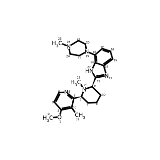 COc1ccnc([C@@H]2CCC[C@H](c3nc4cccc(N5CCN(C)CC5)c4[nH]3)N2C)c1C